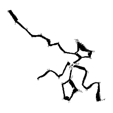 C=CCCCCCCC1=[C]([Hf]([CH2]CCC)([CH2]CCC)[C]2=CC=CC2)C=CC1